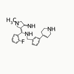 CN1CC(=N)/C(=C(\NCc2cccc(C3=CCNCC3)c2)c2ccccc2F)C1